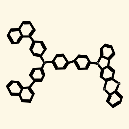 c1ccc2c(c1)Oc1cc3c4ccccc4n(-c4ccc(-c5ccc(N(c6ccc(-c7cccc8ccccc78)cc6)c6ccc(-c7cccc8ccccc78)cc6)cc5)cc4)c3cc1O2